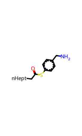 CCCCCCCCC(=O)Sc1ccc(CN)cc1